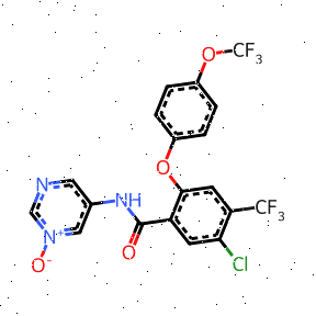 O=C(Nc1cnc[n+]([O-])c1)c1cc(Cl)c(C(F)(F)F)cc1Oc1ccc(OC(F)(F)F)cc1